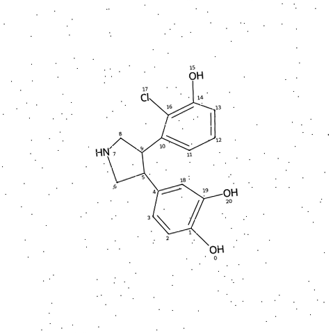 Oc1ccc(C2CNCC2c2cccc(O)c2Cl)cc1O